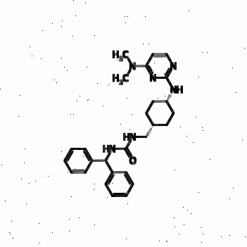 CN(C)c1ccnc(N[C@H]2CC[C@@H](CNC(=O)NC(c3ccccc3)c3ccccc3)CC2)n1